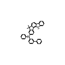 CC1(C)c2cc(N(c3ccccc3)c3cccc(-c4ccccc4)c3)ccc2-c2c1ccc1c2sc2ccccc21